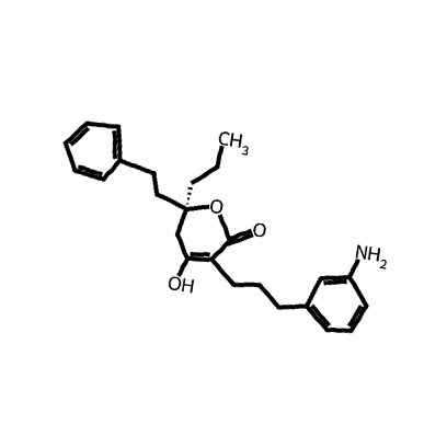 CCC[C@@]1(CCc2ccccc2)CC(O)=C(CCCc2cccc(N)c2)C(=O)O1